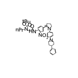 CCCN(CC(=O)Nc1ccc([C@H]2CCCN2c2ccc(N3CCC(c4ccccc4)CC3)cc2)cc1[N+](=O)[O-])C(=O)OC(C)(C)C